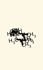 CCCCN(CCCC)CCCC.CCCCN(CCCC)CCCC.O=P(O)(O)C(Cl)(Cl)P(=O)(O)O